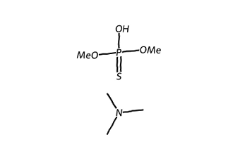 CN(C)C.COP(O)(=S)OC